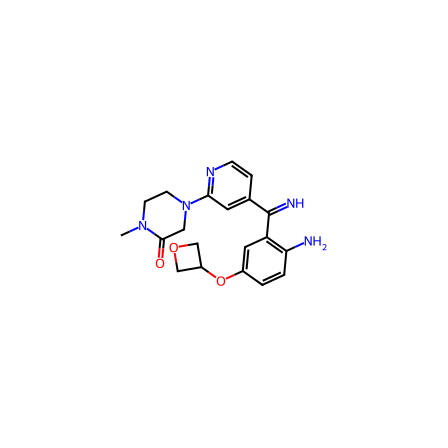 CN1CCN(c2cc(C(=N)c3cc(OC4COC4)ccc3N)ccn2)CC1=O